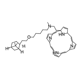 CN(CCCCCOCC[C@@H]1CC[C@H]2C[C@@H]1C2(C)C)CCC12C=CC(C=C3C=CC(=N3)C=c3ccc([nH]3)=CC3=NC(=C1)C=C3)N2